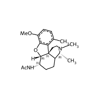 COc1ccc(C)c2c1O[C@H]1[C@@H](NC(C)=O)CCC3[C@@H](C)N(C)CC[C@@]231